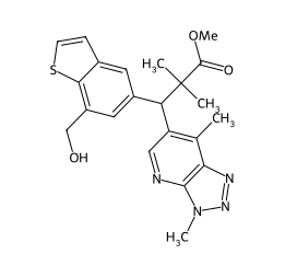 COC(=O)C(C)(C)C(c1cc(CO)c2sccc2c1)c1cnc2c(nnn2C)c1C